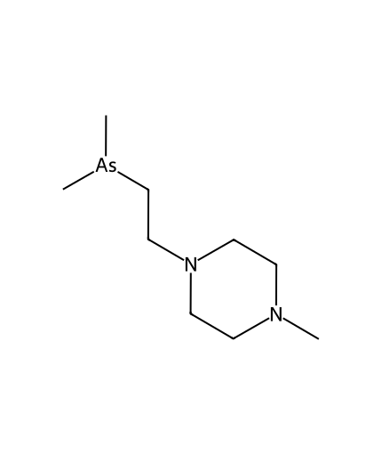 CN1CCN(CC[As](C)C)CC1